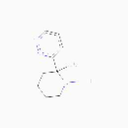 CNC1(c2cccnn2)CCCCN1C(=O)O